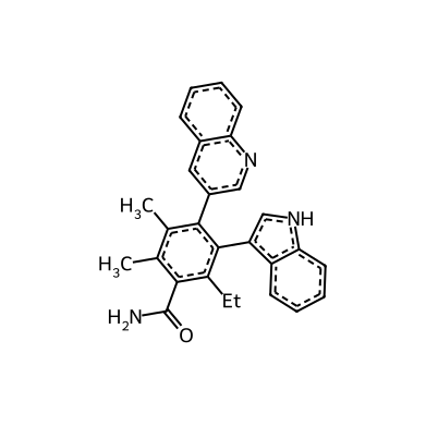 CCc1c(C(N)=O)c(C)c(C)c(-c2cnc3ccccc3c2)c1-c1c[nH]c2ccccc12